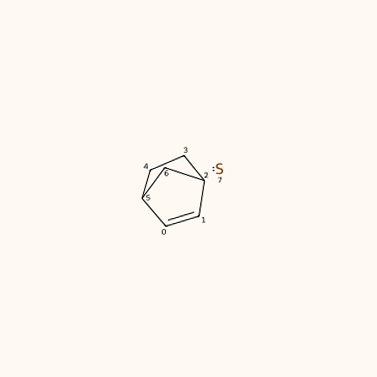 C1=CC2CCC1C2.[S]